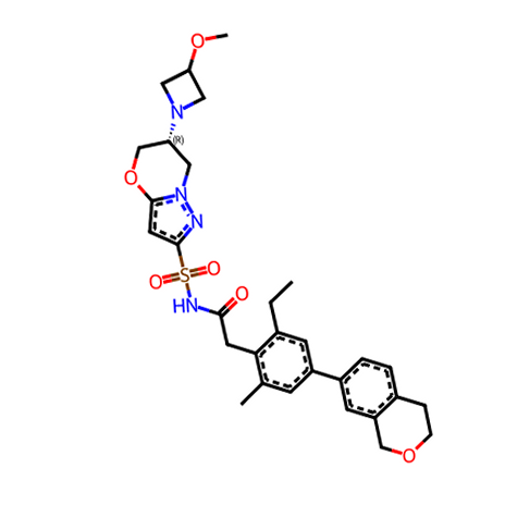 CCc1cc(-c2ccc3c(c2)COCC3)cc(C)c1CC(=O)NS(=O)(=O)c1cc2n(n1)C[C@@H](N1CC(OC)C1)CO2